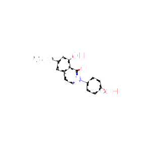 COc1cc(O)c2c(=O)n(-c3ccc(O)cc3)ccc2c1